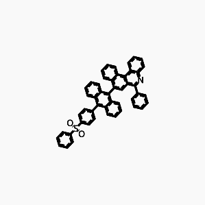 O=S(=O)(c1ccccc1)c1ccc(-c2c3ccccc3c(-c3cc4c(-c5ccccc5)nc5ccccc5c4c4ccccc34)c3ccccc23)cc1